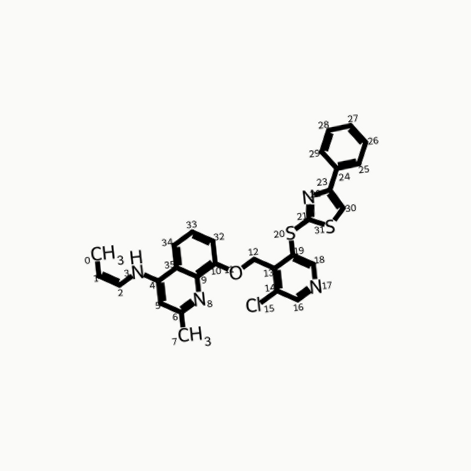 C/C=C\Nc1cc(C)nc2c(OCc3c(Cl)cncc3Sc3nc(-c4ccccc4)cs3)cccc12